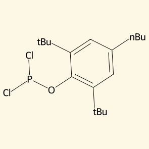 CCCCc1cc(C(C)(C)C)c(OP(Cl)Cl)c(C(C)(C)C)c1